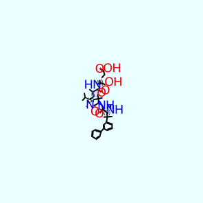 CN[C@H](C(=O)NC(C(=O)N(C)[C@H](/C=C(\C)C(=O)N[C@H](CCC(=O)O)C(=O)O)C(C)C)C(C)(C)C)C(C)(C)c1cccc(-c2ccccc2)c1